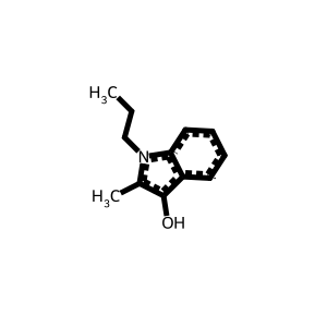 CCCn1c(C)c(O)c2[c]cccc21